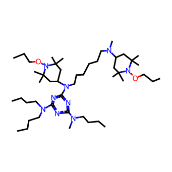 CCCCN(C)c1nc(N(CCCC)CCCC)nc(N(CCCCCCN(C)C2CC(C)(C)N(OCCC)C(C)(C)C2)C2CC(C)(C)N(OCCC)C(C)(C)C2)n1